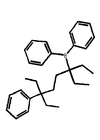 CCC(CC)(CCC(CC)(CC)c1ccccc1)B(c1ccccc1)c1ccccc1